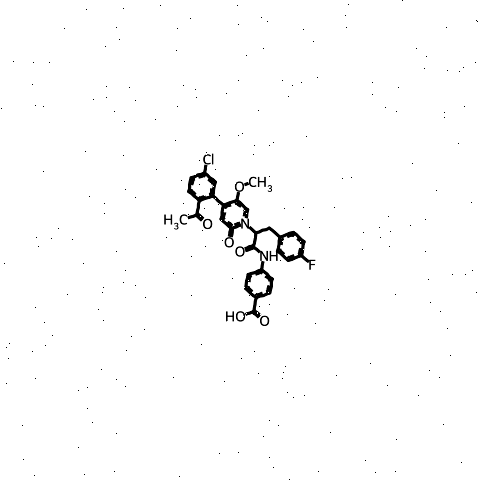 COc1cn(C(Cc2ccc(F)cc2)C(=O)Nc2ccc(C(=O)O)cc2)c(=O)cc1-c1cc(Cl)ccc1C(C)=O